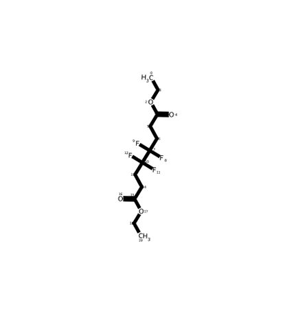 CCOC(=O)CCC(F)(F)C(F)(F)CCC(=O)OCC